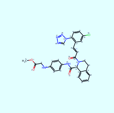 COC(=O)CNc1ccc(NC(=O)[C@@H]2c3ccccc3CCN2C(=O)/C=C/c2cc(Cl)ccc2-n2cnnn2)cc1